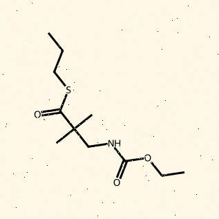 CCCSC(=O)C(C)(C)CNC(=O)OCC